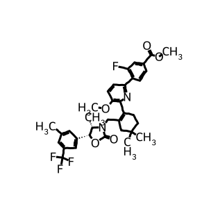 COC(=O)c1ccc(-c2ccc(OC)c(C3=C(CN4C(=O)O[C@H](c5cc(C)cc(C(F)(F)F)c5)[C@@H]4C)CC(C)(C)CC3)n2)c(F)c1